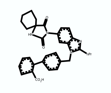 CCCc1nc2ccc(N3C(=O)NC4(CCCCC4)C3=O)cc2n1Cc1ccc(-c2ccccc2C(=O)O)cc1